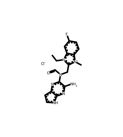 CCn1c(CN(C=O)c2nc3cc[nH]c3nc2N)[n+](C)c2ccc(F)cc21.[Cl-]